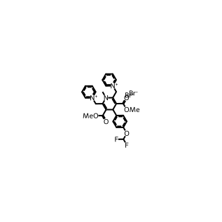 COC(=O)C1=C(C[n+]2ccccc2)N(C)C(C[n+]2ccccc2)=C(C(=O)OC)C1c1ccc(OC(F)F)cc1.[Br-].[Br-]